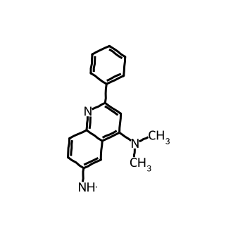 CN(C)c1cc(-c2ccccc2)nc2ccc([NH])cc12